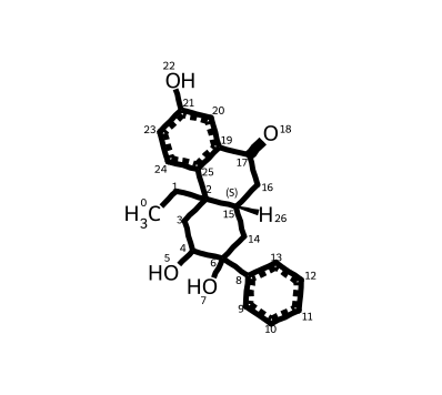 CCC12CC(O)C(O)(c3ccccc3)C[C@H]1CC(=O)c1cc(O)ccc12